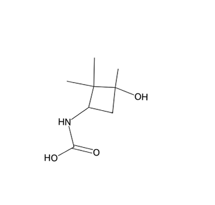 CC1(O)CC(NC(=O)O)C1(C)C